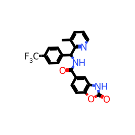 Cc1cccnc1C(NC(=O)c1ccc2oc(=O)[nH]c2c1)c1ccc(C(F)(F)F)cc1